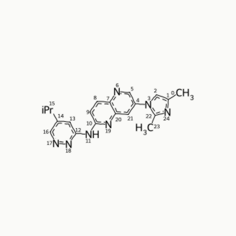 Cc1cn(-c2cnc3ccc(Nc4cc(C(C)C)cnn4)nc3c2)c(C)n1